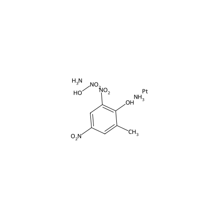 Cc1cc([N+](=O)[O-])cc([N+](=O)[O-])c1O.N.N.O=[N+]([O-])O.[Pt]